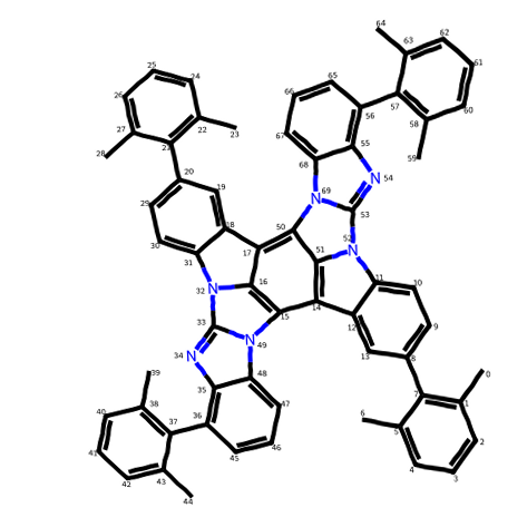 Cc1cccc(C)c1-c1ccc2c(c1)c1c3c4c(c5cc(-c6c(C)cccc6C)ccc5n4c4nc5c(-c6c(C)cccc6C)cccc5n34)c3c1n2c1nc2c(-c4c(C)cccc4C)cccc2n31